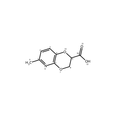 Cc1ccc2c(n1)OCC(C(=O)O)O2